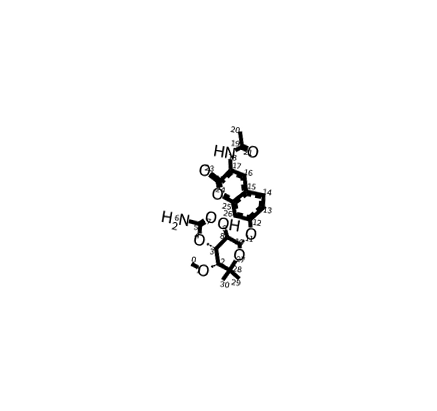 CO[C@@H]1[C@H](OC(N)=O)C(O)[C@H](Oc2ccc3cc(NC(C)=O)c(=O)oc3c2)OC1(C)C